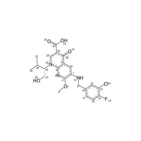 COc1nc2c(cc1NCc1ccc(F)c(Cl)c1)c(=O)c(C(=O)O)cn2[C@H](CO)C(C)C